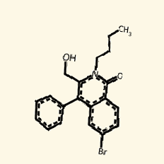 CCCCn1c(CO)c(-c2ccccc2)c2cc(Br)ccc2c1=O